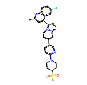 Cc1cc(-c2cnc3cc(-c4ccc(N5CCC(S(C)(=O)=O)CC5)nc4)ccn23)c2cc(F)ccc2n1